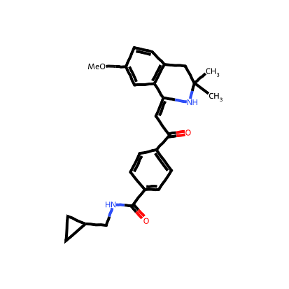 COc1ccc2c(c1)C(=CC(=O)c1ccc(C(=O)NCC3CC3)cc1)NC(C)(C)C2